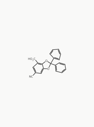 N#Cc1cc2c(c(C(=O)O)c1)OC(c1ccccc1)(c1ccccc1)O2